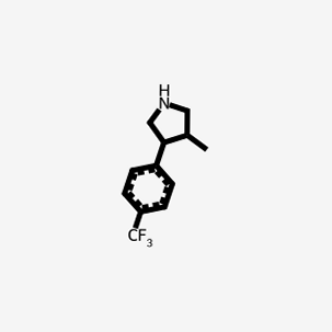 CC1CNCC1c1ccc(C(F)(F)F)cc1